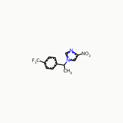 CC(c1ccc(C(F)(F)F)cc1)n1cnc([N+](=O)[O-])c1